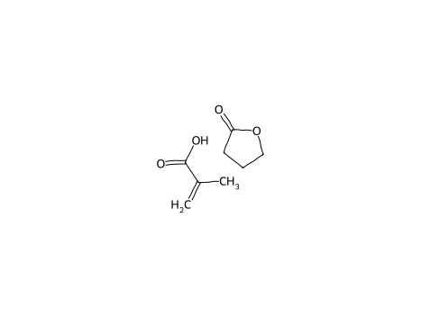 C=C(C)C(=O)O.O=C1CCCO1